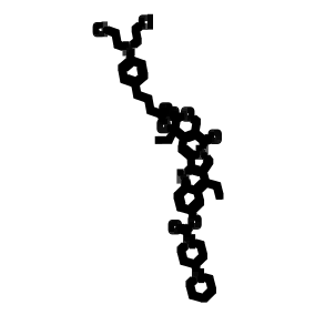 CCc1c2c(nc3ccc(OC(=O)N4CCC(N5CCCCC5)CC4)cc13)-c1cc3c(c(=O)n1C2)COC(=O)[C@@]3(CC)OC(=O)CCCc1ccc(N(CCCl)CCCl)cc1